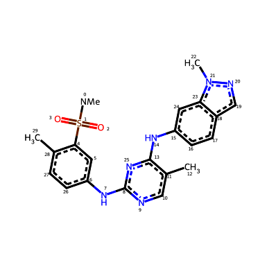 CNS(=O)(=O)c1cc(Nc2ncc(C)c(Nc3ccc4cnn(C)c4c3)n2)ccc1C